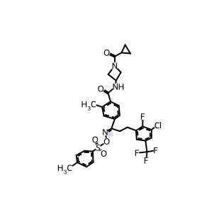 Cc1ccc(S(=O)(=O)O/N=C(\CCc2cc(C(F)(F)F)cc(Cl)c2F)c2ccc(C(=O)NC3CN(C(=O)C4CC4)C3)c(C)c2)cc1